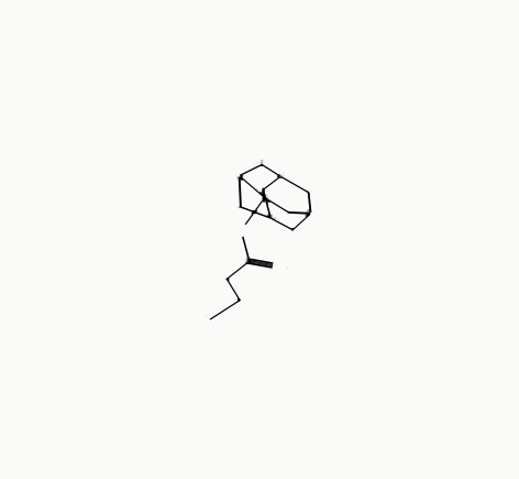 CCCC(=O)OC1CC2CC3CC(C2)CC1C3